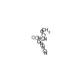 COc1ccc2ncc(C(=O)N3CCN(c4ccncc4)CC3)c(N3CCC4(CCCC4)CC3)c2c1